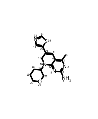 Cc1nc(N)nc2c1C=C(c1cncs1)CN2C1CCCOC1